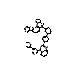 c1ccc(-c2cccc(-c3nc(-c4ccc(-c5cccc(-c6nc7ccccc7c7c6ccc6c8ccccc8sc67)c5)cc4)nc4ccccc34)c2)cc1